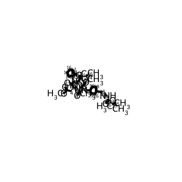 COC(=O)C[C@H](NC(C)=O)C(=O)N(c1ccccc1)[C@@H](NC(=O)Nc1ccc(C=NNC(=O)OC(C)(C)C)cc1)C(=O)OC(C)(C)C